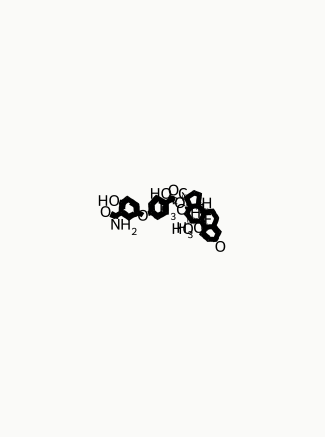 C[C@]12C=CC(=O)C=C1CC[C@H]1[C@@H]3CC[C@@](OC(=O)c4ccc(Oc5ccc(O)c(C(N)=O)c5)cc4)(C(=O)O)[C@@]3(C)C[C@H](O)C12F